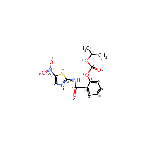 CC(C)OC(=O)Oc1ccccc1C(=O)Nc1ncc([N+](=O)[O-])s1